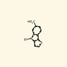 CCn1c2cc(C(=O)O)ccc2c2sccc21